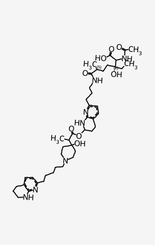 CC[C@@](O)(CC[C@H](C)C(=O)NCCCc1ccc2c(n1)NC(OC(=O)C(C)C1(O)CCN(CCCCCc3ccc4c(n3)NCCC4)CC1)CC2)C(NC(C)=O)C(=O)O